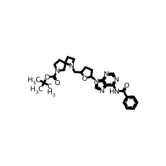 CC(C)(C)OC(=O)N1CCC2(CCN2CC2CCC(n3cnc4c(NC(=O)c5ccccc5)ncnc43)O2)C1